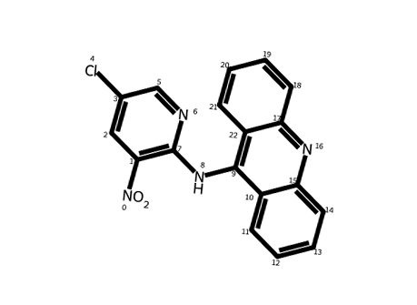 O=[N+]([O-])c1cc(Cl)cnc1Nc1c2ccccc2nc2ccccc12